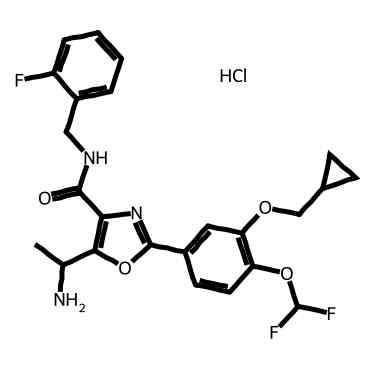 CC(N)c1oc(-c2ccc(OC(F)F)c(OCC3CC3)c2)nc1C(=O)NCc1ccccc1F.Cl